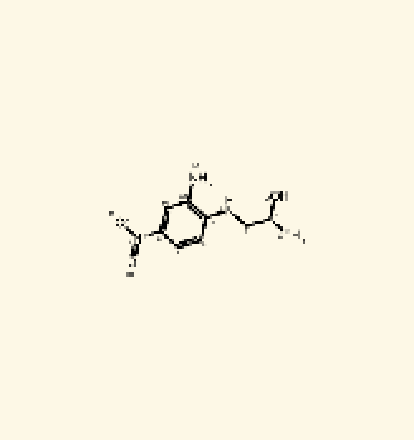 C[C@H](O)CNc1ccc([N+](=O)[O-])cc1N